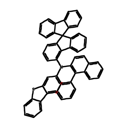 c1ccc(-c2c(N(c3ccc4c(c3)sc3ccccc34)c3cccc4c3-c3ccccc3C43c4ccccc4-c4ccccc43)ccc3ccccc23)cc1